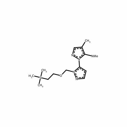 CNc1c(C)cnn1-c1ccnn1COCC[Si](C)(C)C